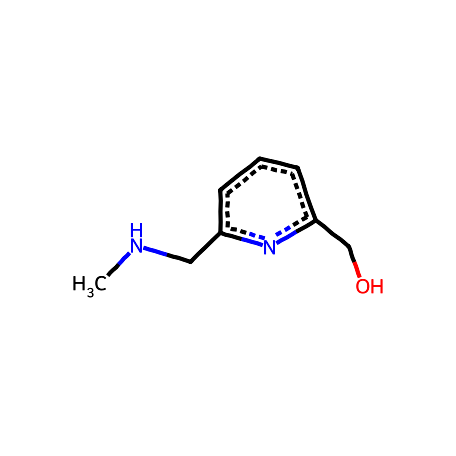 CNCc1cccc(CO)n1